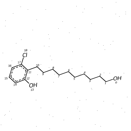 OCCCCCCCCCCc1c(O)cccc1Cl